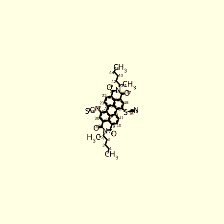 CCCC[C@H](C)N1C(=O)c2ccc3c4c(SC#N)cc5c6c(ccc(c7c(N=C=S)cc(c2c37)C1=O)c64)C(=O)N([C@@H](C)CCCC)C5=O